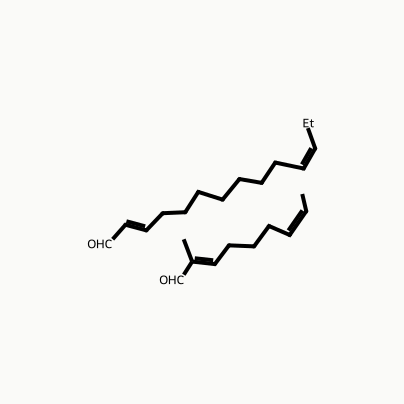 C/C=C\CCC/C=C(\C)C=O.CC/C=C\CCCCCCC/C=C/C=O